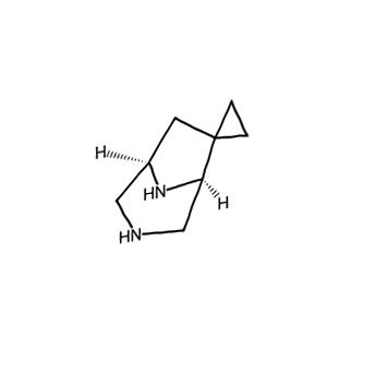 C1NC[C@H]2N[C@@H]1CC21CC1